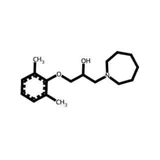 Cc1cccc(C)c1OCC(O)CN1CCCCCC1